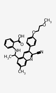 COCCOc1ccc(-c2cc3c(C(C)Nc4ccccc4C(=O)O)cc(C)cc3nc2C#N)cc1